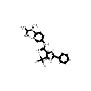 CC(C)N(C)c1ccc(NC(=O)c2nc(-c3ccccc3)oc2C(F)(F)F)cn1